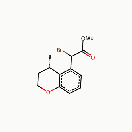 COC(=O)C(Br)c1cccc2c1[C@@H](C)CCO2